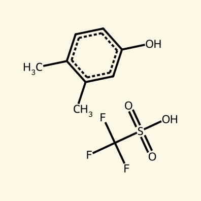 Cc1ccc(O)cc1C.O=S(=O)(O)C(F)(F)F